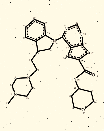 CN1CCN(CCC2CN(c3ncnc4sc(C(=O)NC5CCOCC5)nc34)c3ccccc32)CC1